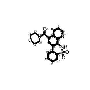 O=C(c1cc2c(c3ncccc13)NS(=O)(=O)c1ccccc1-2)N1CCOCC1